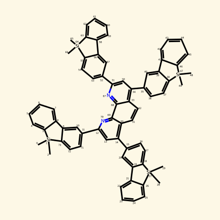 C[Si]1(C)c2ccccc2-c2cc(-c3cc(-c4ccc5c(c4)-c4ccccc4[Si]5(C)C)c4ccc5c(-c6ccc7c(c6)-c6ccccc6[Si]7(C)C)cc(-c6ccc7c(c6)-c6ccccc6[Si]7(C)C)nc5c4n3)ccc21